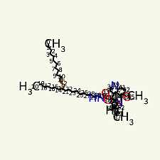 CCCCCCCCCCCCSC(CCCCCCC)CCCCCCCCCCNC(=O)O[C@H](c1ccnc2ccc(OC)cc12)[C@@H]1C[C@@H]2CCN1C[C@@H]2CC